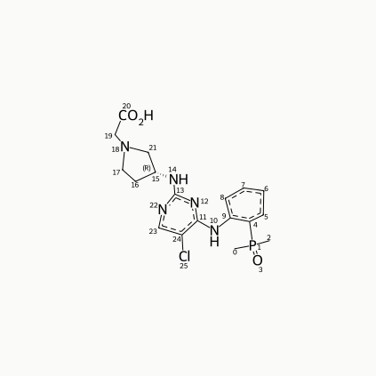 CP(C)(=O)c1ccccc1Nc1nc(N[C@@H]2CCN(CC(=O)O)C2)ncc1Cl